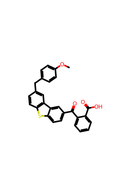 COc1ccc(Cc2ccc3sc4ccc(C(=O)c5ccccc5C(=O)O)cc4c3c2)cc1